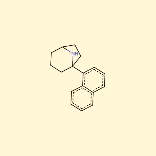 c1ccc2c(C34CCCC(CC3)N4)cccc2c1